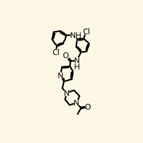 CC(=O)N1CCN(Cc2ccc(C(=O)Nc3ccc(Cl)c(Nc4cccc(Cl)c4)c3)cn2)CC1